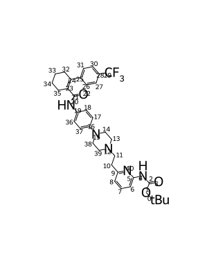 CC(C)(C)OC(=O)Nc1cccc(CCN2CCN(c3ccc(NC(=O)C4=C(c5ccc(C(F)(F)F)cc5)CCCC4)cc3)CC2)n1